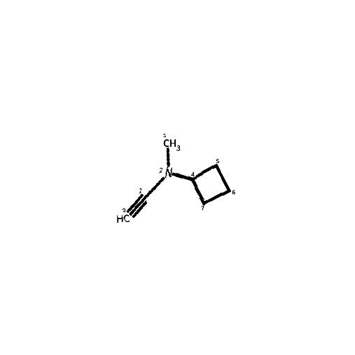 C#CN(C)C1CCC1